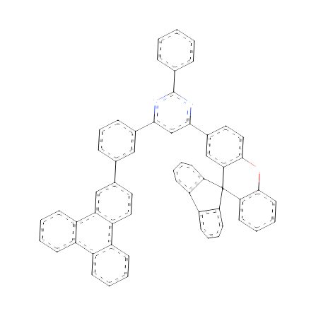 c1ccc(-c2nc(-c3cccc(-c4ccc5c6ccccc6c6ccccc6c5c4)c3)cc(-c3ccc4c(c3)C3(c5ccccc5O4)c4ccccc4-c4ccccc43)n2)cc1